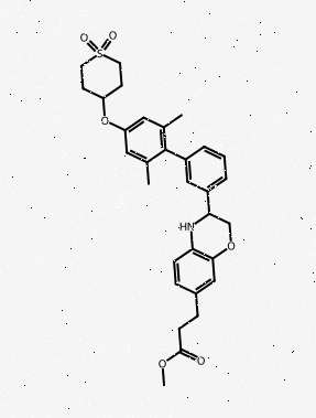 COC(=O)CCc1ccc2c(c1)OCC(c1cccc(-c3c(C)cc(OC4CCS(=O)(=O)CC4)cc3C)c1)N2